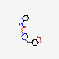 O=C(Nc1ccccn1)ON1CCN(Cc2ccc3c(c2)OCO3)CC1